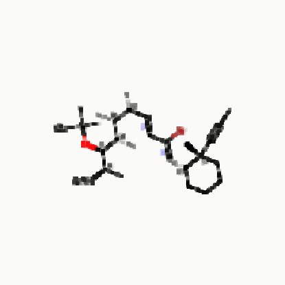 CC#C[C@]1(C)CCCC[C@@H]1/C=C(Br)/C=C/[C@@H](C)[C@@H](C)[C@H](C)[C@H](O[Si](C)(C)C(C)(C)C)[C@@H](C)NC(C)=O